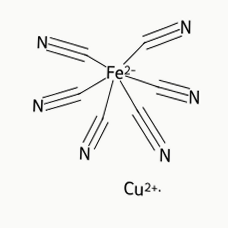 N#[C][Fe-2]([C]#N)([C]#N)([C]#N)([C]#N)[C]#N.[Cu+2]